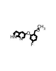 COCc1ccc(F)cc1Oc1cnc2[nH]ccc2c1